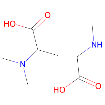 CC(C(=O)O)N(C)C.CNCC(=O)O